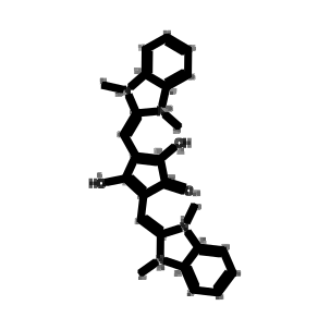 CN1C(=CC2=C(O)C(C=C3N(C)c4ccccc4N3C)=C(O)C2=O)N(C)c2ccccc21